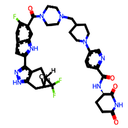 C[C@@]12Cc3[nH]nc(-c4cc5cc(F)c(C(=O)N6CCN(CC7CCN(c8ccc(C(=O)N[C@H]9CCC(=O)NC9=O)nc8)CC7)CC6)cc5[nH]4)c3C[C@@H]1C2(F)F